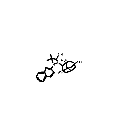 CC1(C)C(O)N(C2[C@@H]3CC4C[C@H]2CC(O)(C4)C3)N1c1ccc2ccccc2c1